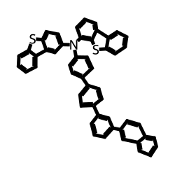 c1cc(-c2ccc(-c3ccc(N(c4ccc5sc6ccccc6c5c4)c4cccc5c4sc4ccccc45)cc3)cc2)cc(-c2ccc3ccccc3c2)c1